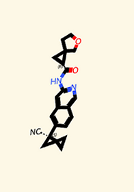 N#C[C@@]1(c2ccc3cnc(NC(=O)[C@@H]4CC45CCOC5)cc3c2)CC12CC2